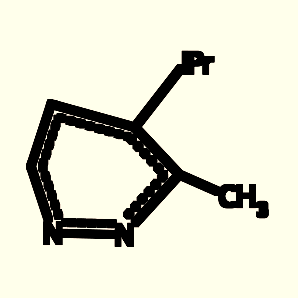 Cc1nnccc1C(C)C